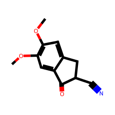 COc1cc2c(cc1OC)C(=O)C(C#N)C2